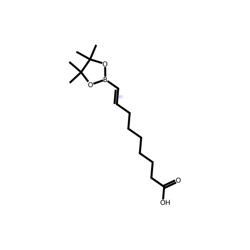 CC1(C)OB(/C=C/CCCCCCC(=O)O)OC1(C)C